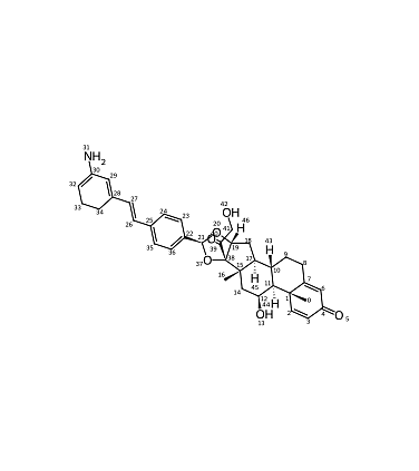 C[C@]12C=CC(=O)C=C1CC[C@@H]1[C@@H]2[C@@H](O)C[C@@]2(C)[C@H]1C[C@H]1O[C@H](c3ccc(/C=C/C4=CC(N)=CCC4)cc3)O[C@]12C(=O)CO